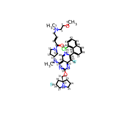 COCCN(C)CC=CC(=O)N1CC[C@@H](N(C)c2nc(OC[C@@]34CCCN3C[C@H](F)C4)nc3c(F)c(-c4cccc5cccc(Cl)c45)ncc23)C1